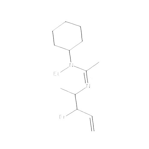 C=CC(CC)C(C)/N=C(/C)N(CC)C1CCCCC1